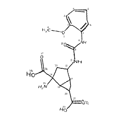 COc1ccccc1NC(=O)NC1CC(N)(C(=O)O)C2C(C(=O)O)C12